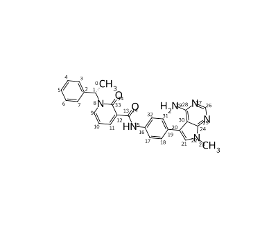 C[C@@H](c1ccccc1)n1cccc(C(=O)Nc2ccc(-c3cn(C)c4ncnc(N)c34)cc2)c1=O